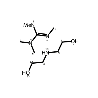 C/N=C(\NC)N(C)C.OCCNCCO